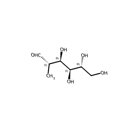 C[C@H](C=O)[C@@H](O)[C@H](O)[C@H](O)CO